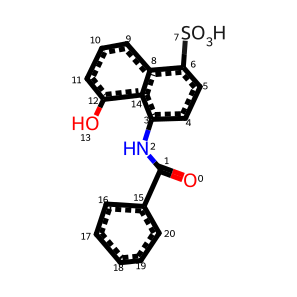 O=C(Nc1ccc(S(=O)(=O)O)c2cccc(O)c12)c1ccccc1